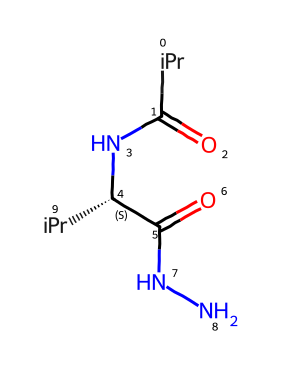 CC(C)C(=O)N[C@H](C(=O)NN)C(C)C